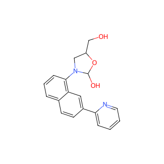 OCC1CN(c2cccc3ccc(-c4ccccn4)cc23)C(O)O1